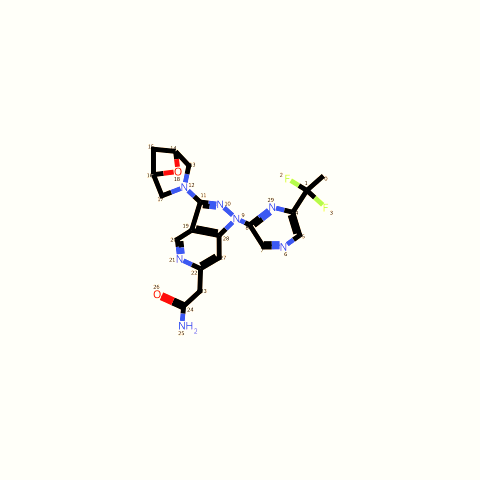 CC(F)(F)c1cncc(-n2nc(N3CC4CC(C3)O4)c3cnc(CC(N)=O)cc32)n1